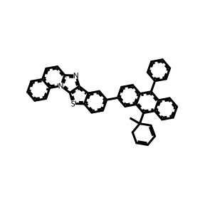 CC1(c2c3ccccc3c(-c3ccccc3)c3ccc(-c4ccc5sc6c(nc7ccc8ccccc8n76)c5c4)cc23)C=CC=CC1